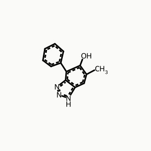 Cc1cc2[nH]nnc2c(-c2ccccc2)c1O